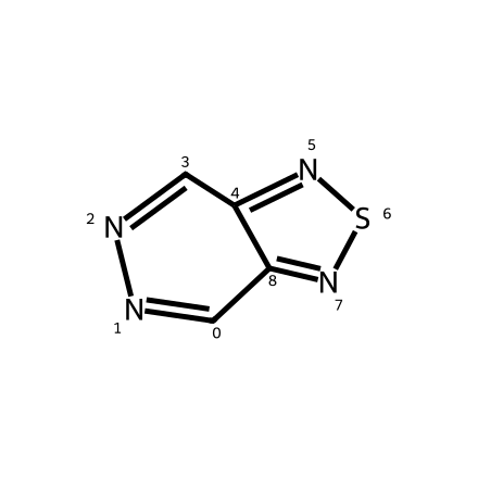 c1nncc2nsnc12